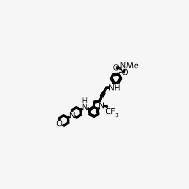 CNS(=O)(=O)c1ccc(NCC#Cc2cc3c(NC4CCN(C5CCOCC5)CC4)cccc3n2CC(F)(F)F)cc1